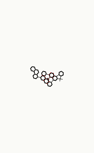 CC1(C)c2ccccc2-c2ccc(-c3ccccc3N(c3ccc(-c4cccc5c4ccc4ccccc45)cc3)c3ccccc3-c3ccccc3-c3ccccc3-c3ccccc3)cc21